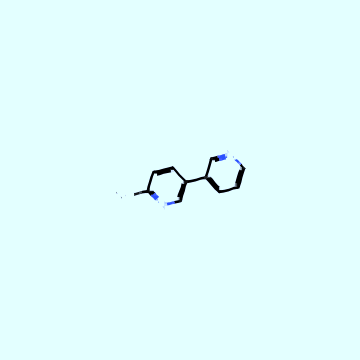 N#Cc1ccc(-c2cccnc2)cn1